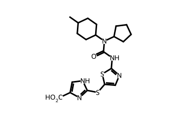 CC1CCC(N(C(=O)Nc2ncc(Sc3nc(C(=O)O)c[nH]3)s2)C2CCCC2)CC1